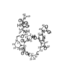 C=C[C@@H]1CC1(NC(=O)[C@@H]1C[C@@H]2CN1C(=O)[C@H](C1CCCCC1)NC(=O)OCC(C)(C)CCCc1cc3c(cc(N4CCOC4=O)nc3cc1OC)O2)C(=O)NS(=O)(=O)C1CC1